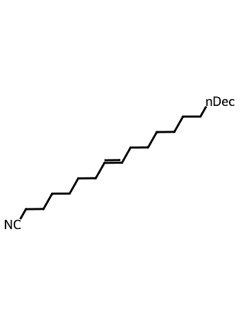 CCCCCCCCCCCCCCCCC=CCCCCCCC#N